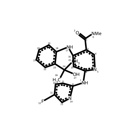 CNC(=O)c1cnc(Nc2ccc(F)cn2)cc1Nc1ccccc1C(C)(C)O